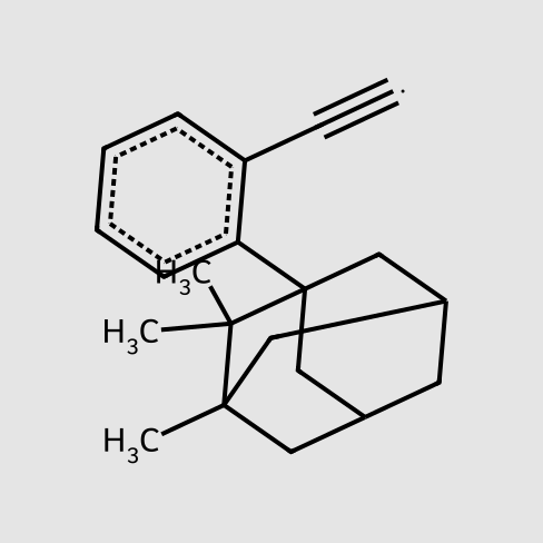 [C]#Cc1ccccc1C12CC3CC(CC(C)(C3)C1(C)C)C2